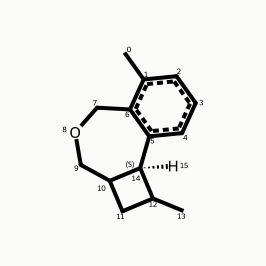 Cc1cccc2c1COCC1CC(C)[C@H]21